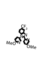 COc1ccc(-c2nc3cc(C(F)(F)F)ccc3n2-c2ccc(OC)nc2)nc1